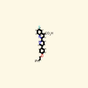 CC(C)CCOc1ccc(-c2ccc(-c3cc(C(=O)O)c4cc(F)ccc4n3)nc2)cc1